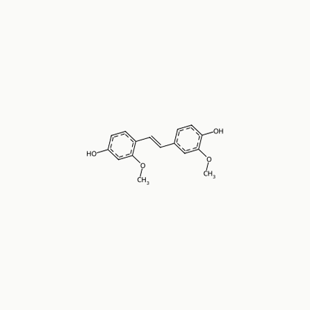 COc1cc(C=Cc2ccc(O)cc2OC)ccc1O